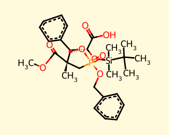 COC(=O)[C@](C)(C[C@@H](O[Si](C)(C)C(C)(C)C)C(=O)O)CP(=O)(OCc1ccccc1)OCc1ccccc1